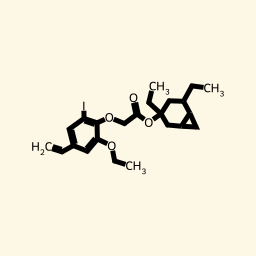 C=Cc1cc(I)c(OCC(=O)OC2(CC)CC(CC)C3CC3C2)c(OCC)c1